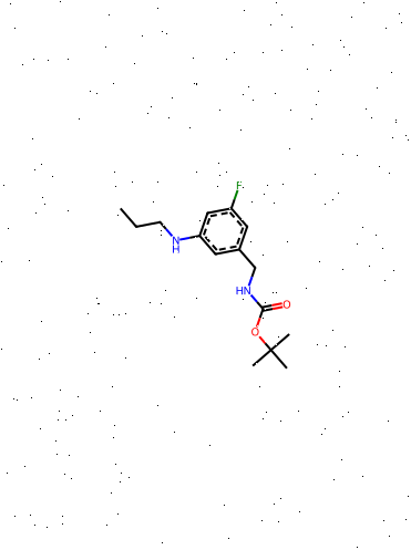 CCCNc1cc(F)cc(CNC(=O)OC(C)(C)C)c1